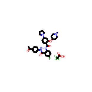 CC(=O)c1ccc(NC(=O)c2cc(F)ccc2NC(=O)c2ccc(N3CCCC3)cc2OC2CCN(C)CC2)cc1.O=C(O)C(F)(F)F